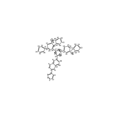 c1ccc(-c2ccc3cc(-c4nc(-c5ccc6c(c5)sc5ccccc56)nc(-c5cc(-c6ccccc6)cc6oc7ccccc7c56)n4)ccc3c2)cc1